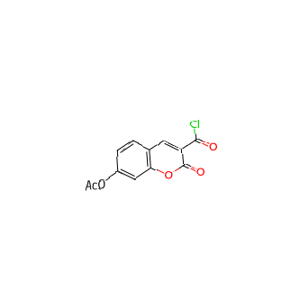 CC(=O)Oc1ccc2cc(C(=O)Cl)c(=O)oc2c1